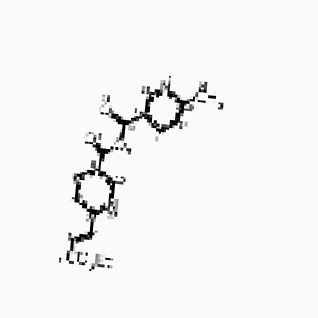 CCOC(=O)/C=C/c1ccc(C(=O)OC(=O)c2ccc(C)nc2)cn1